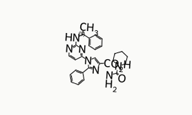 C[C@H](Nc1nccc(-n2cc(C(=O)O)nc2-c2ccccc2)n1)c1ccccc1.NC(=O)N1CCCCC1